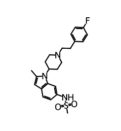 Cc1cc2ccc(NS(C)(=O)=O)cc2n1C1CCN(CCc2ccc(F)cc2)CC1